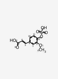 COc1cc(C=CC(=O)O)ccc1OS(=O)(=O)O